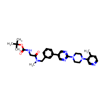 Cc1ccncc1N1CCN(c2ncc(-c3cccc(CN(C)C(=O)CNC(=O)OC(C)(C)C)c3)cn2)CC1